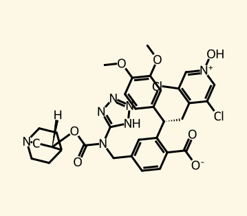 COc1ccc([C@H](Cc2c(Cl)c[n+](O)cc2Cl)c2cc(CN(C(=O)O[C@H]3CN4CCC3CC4)c3nnn[nH]3)ccc2C(=O)[O-])cc1OC